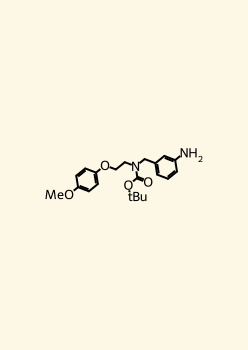 COc1ccc(OCCN(Cc2cccc(N)c2)C(=O)OC(C)(C)C)cc1